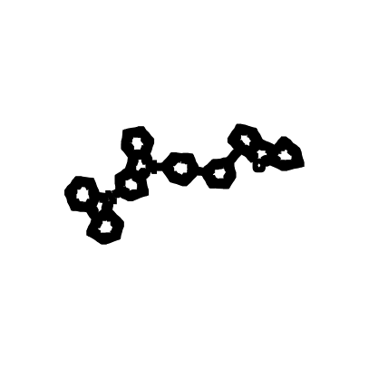 c1cc(-c2ccc(-n3c4ccccc4c4cc(-n5c6ccccc6c6ccccc65)ccc43)cc2)cc(-c2cccc3c2oc2ccccc23)c1